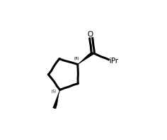 CC(C)C(=O)[C@@H]1CC[C@H](C)C1